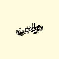 CCCCC(NC(=O)Cc1ccc(OCC(=O)NS(C)(=O)=O)cc1)c1ccccc1N1CCCCC1